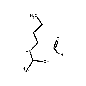 CCCCNC(C)O.O=CO